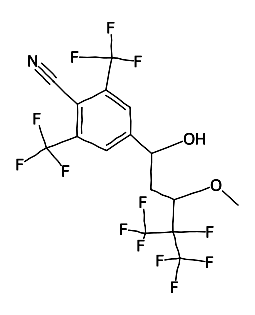 COC(CC(O)c1cc(C(F)(F)F)c(C#N)c(C(F)(F)F)c1)C(F)(C(F)(F)F)C(F)(F)F